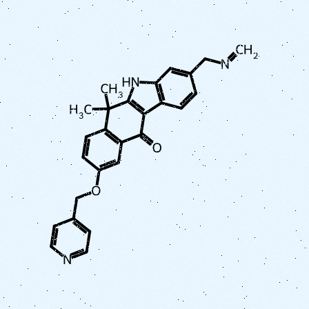 C=NCc1ccc2c3c([nH]c2c1)C(C)(C)c1ccc(OCc2ccncc2)cc1C3=O